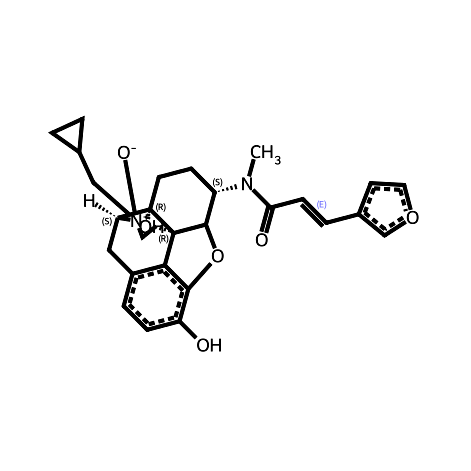 CN(C(=O)/C=C/c1ccoc1)[C@H]1CC[C@]2(O)[C@@H]3Cc4ccc(O)c5c4[C@]2(CC[N+]3([O-])CC2CC2)C1O5